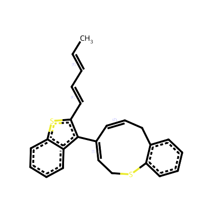 C/C=C/C=C/c1sc2ccccc2c1C1=C/CSc2ccccc2C/C=C\1